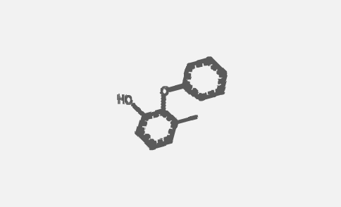 Cc1cccc(O)c1Oc1ccccc1